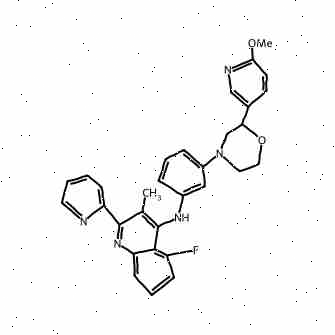 COc1ccc(C2CN(c3cccc(Nc4c(C)c(-c5ccccn5)nc5cccc(F)c45)c3)CCO2)cn1